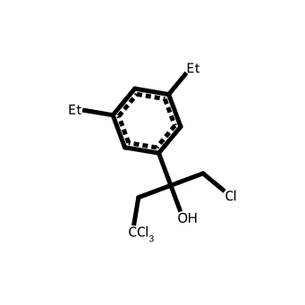 CCc1cc(CC)cc(C(O)(CCl)CC(Cl)(Cl)Cl)c1